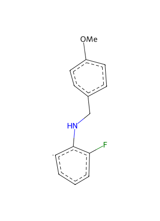 COc1ccc(CNc2[c]cccc2F)cc1